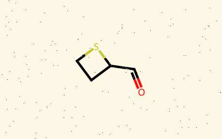 O=CC1CCS1